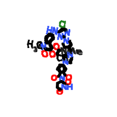 CNC(=O)[C@@H](C)Oc1cc2cc(Nc3nc(N4CCC(CN5CCN(c6ccc7c(c6)C(=O)N([C@H]6CCC(=O)NC6=O)C7=O)CC5)CC4)ncc3Cl)ccc2n(C)c1=O